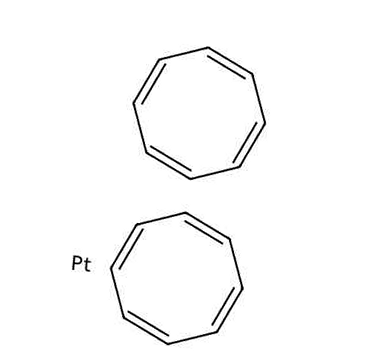 C1=C\C=C/C=C\C=C/1.C1=C\C=C/C=C\C=C/1.[Pt]